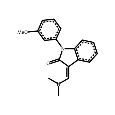 COc1cccc(N2C(=O)C(=CN(C)C)c3ccccc32)c1